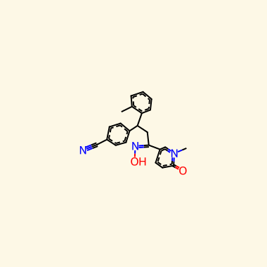 Cc1ccccc1C(CC(=NO)c1ccc(=O)n(C)c1)c1ccc(C#N)cc1